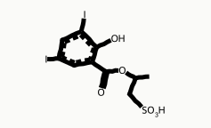 CC(CS(=O)(=O)O)OC(=O)c1cc(I)cc(I)c1O